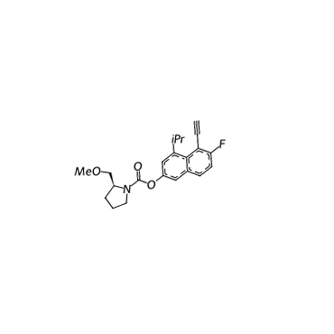 C#Cc1c(F)ccc2cc(OC(=O)N3CCC[C@H]3COC)cc(C(C)C)c12